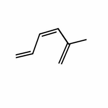 C=C/C=C\C(=C)C